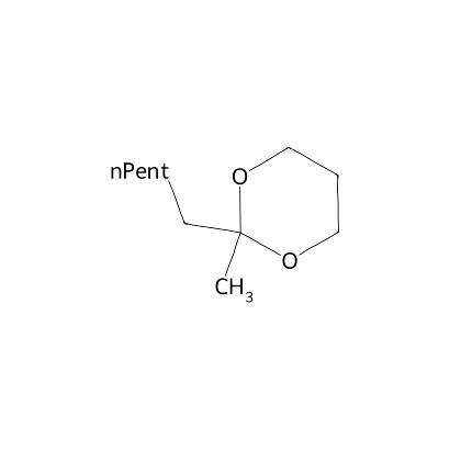 CCCCCCC1(C)OCCCO1